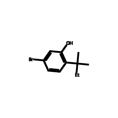 CCC(C)(C)c1ccc(Br)cc1O